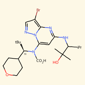 CC(C)C(Nc1cc(N(C(=O)O)[C@@H](C2CCOCC2)C(C)(C)C)n2ncc(Br)c2n1)C(C)(C)O